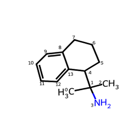 CC(C)(N)C1CCCc2ccccc21